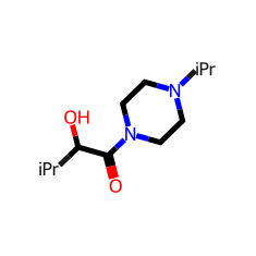 CC(C)C(O)C(=O)N1CCN(C(C)C)CC1